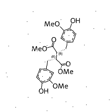 COC(=O)[C@H](Cc1ccc(O)c(OC)c1)[C@@H](Cc1ccc(O)c(OC)c1)C(=O)OC